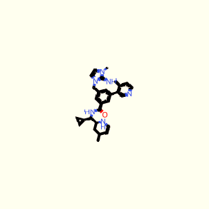 Cc1ccncc1-c1cc(Cn2ccn(C)c2=N)cc(C(=O)NC(C2CC2)C2CC(C)CCN2)c1